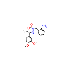 CCC1OC(=O)N(Cc2ccccc2N)N=C1c1ccc(OC)c(OC)c1